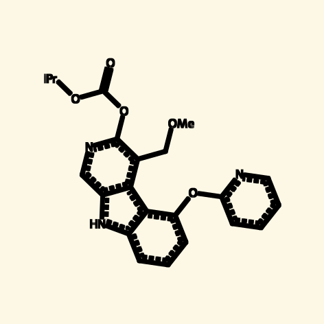 COCc1c(OC(=O)OC(C)C)ncc2[nH]c3cccc(Oc4ccccn4)c3c12